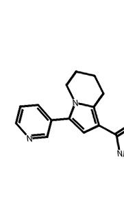 CNC(=O)c1cc(-c2cccnc2)n2c1CCCC2